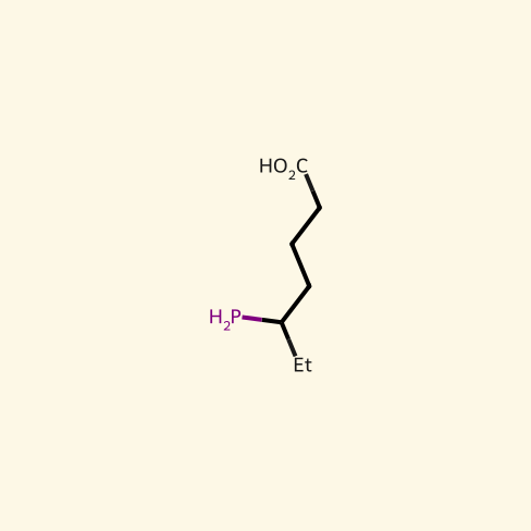 CCC(P)CCCC(=O)O